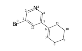 Brc1cncc(C2=CCCCC2)c1